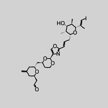 C=C1C[C@H](C[C@@H]2CCO[C@H](c3coc(/C=C/C[C@H]4O[C@@H](/C(C)=C/I)[C@H](C)[C@@H](O)[C@H]4C)n3)O2)O[C@@H](CC=O)C1